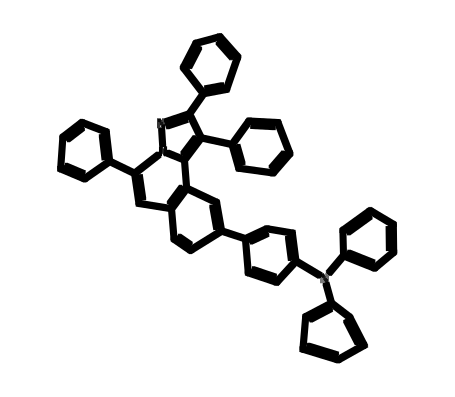 c1ccc(-c2nn3c(-c4ccccc4)cc4ccc(-c5ccc(N(c6ccccc6)c6ccccc6)cc5)cc4c3c2-c2ccccc2)cc1